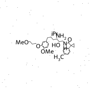 COCCCOc1cc(C[C@@H](C[C@H](N)[C@@H](O)CNC(=O)C2(c3ccc(C)cc3)CC2)C(C)C)ccc1OC